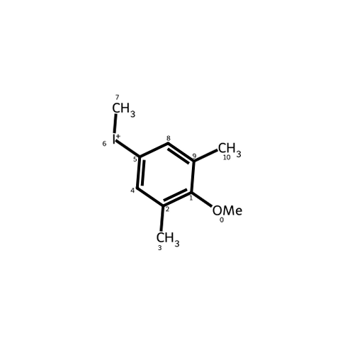 COc1c(C)cc([I+]C)cc1C